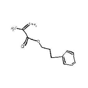 C=C(C)C(=O)OCCCc1[c]cccc1